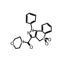 O=C(c1nn(-c2ccccc2)c2c1CS(=O)(=O)c1ccccc1-2)N1CCOCC1